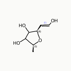 C[C@@H]1O[C@H](/C=C/O)C(O)C1O